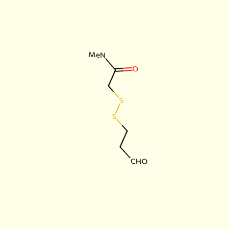 CNC(=O)CSSCCC=O